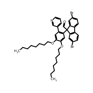 CCCCCCCCOc1cc(-c2cccnc2)c(C2(C=O)c3cc(Br)ccc3-c3ccc(Br)cc32)cc1OCCCCCCCC